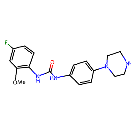 COc1cc(F)ccc1NC(=O)Nc1ccc(N2CCNCC2)cc1